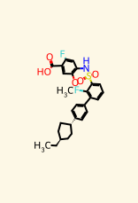 CC[C@H]1CC[C@H](c2ccc(-c3cccc(S(=O)(=O)Nc4cc(F)c(C(=O)O)cc4OC)c3F)cc2)CC1